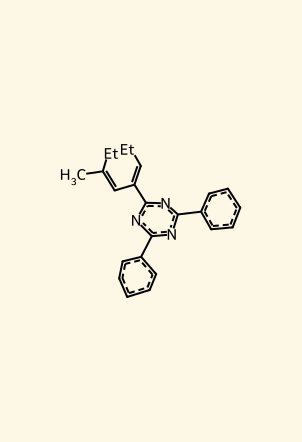 CC/C=C(\C=C(\C)CC)c1nc(-c2ccccc2)nc(-c2ccccc2)n1